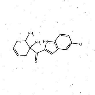 NC1CC=CCC1(N)C(=O)c1cc2cc(Cl)ccc2[nH]1